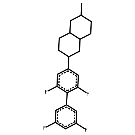 CC1CCC2CC(c3cc(F)c(-c4cc(F)cc(F)c4)c(F)c3)CCC2C1